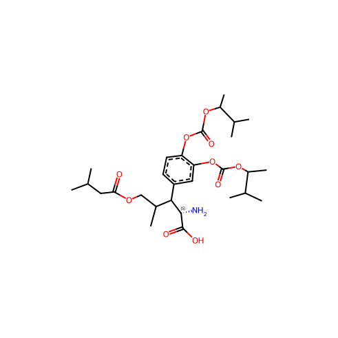 CC(C)CC(=O)OCC(C)C(c1ccc(OC(=O)OC(C)C(C)C)c(OC(=O)OC(C)C(C)C)c1)[C@H](N)C(=O)O